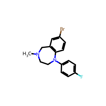 CN1CCN(c2ccc(F)cc2)c2ccc(Br)cc2C1